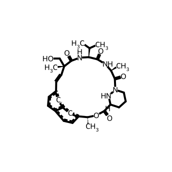 CC(C)[C@@H]1NC(=O)[C@@](C)(CO)/C=C/c2ccc3ccc(cc3c2)[C@@H](C)OC(=O)[C@@H]2CCCN(N2)C(=O)[C@H](C)NC1=O